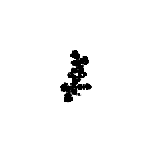 Cc1cc2c3c(c1)N(c1ccc(-c4ccccc4CC4(C)CCC(C)(C)c5cc6c7c(sc6cc54)B4c5cc6c(cc5N(c5ccc8c(c5)C(C)(C)CCC8(C)C)c5cc(C(C)(C)C)cc(c54)N7c4ccc(C(C)(C)c5ccccc5)cc4)C(C)(C)CCC6(C)C)cc1C#N)c1c(sc4cc5c(cc14)C(C)(C)CCC5(C)C)B3c1cc3c(cc1N2c1ccc2c(c1)C(C)(C)CCC2(C)C)C(C)(C)CCC3(C)C